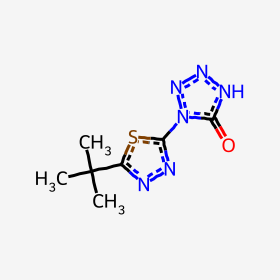 CC(C)(C)c1nnc(-n2nn[nH]c2=O)s1